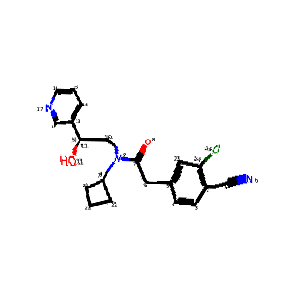 N#Cc1ccc(CC(=O)N(C[C@@H](O)c2cccnc2)C2CCC2)cc1Cl